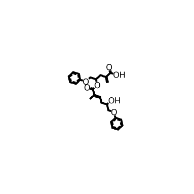 C=C(CC(COc1ccccc1)OC(=O)C(C)=CCC(O)COc1ccccc1)C(=O)O